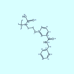 CC(C)(C)N(CCOc1cccc(C(=O)NCc2ccccn2)c1)C(=O)O